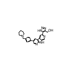 OCc1nn[nH]c1-c1cc2c(cn1)[nH]c1ncc(-c3ccc(CN4CCCCC4)cc3)cc12